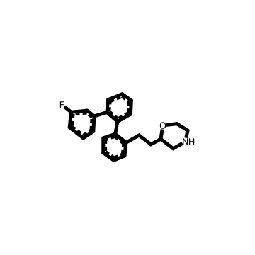 Fc1cccc(-c2ccccc2-c2ccccc2CCC2CNCCO2)c1